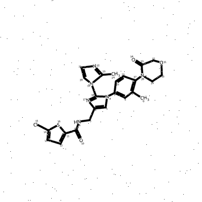 Cc1cc(-n2cc(CNC(=O)c3ccc(Cl)s3)nc2-n2ccnc2C)ccc1N1CCOCC1=O